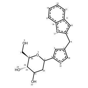 OC[C@H]1OC(c2cc(Cc3cc4ccccc4s3)cs2)CC(O)[C@@H]1O